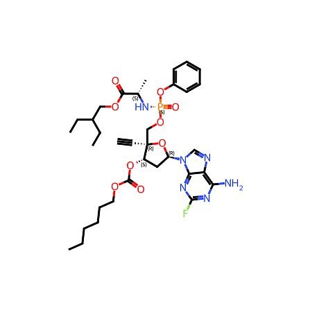 C#C[C@]1(CO[P@@](=O)(N[C@@H](C)C(=O)OCC(CC)CC)Oc2ccccc2)O[C@@H](n2cnc3c(N)nc(F)nc32)C[C@@H]1OC(=O)OCCCCCC